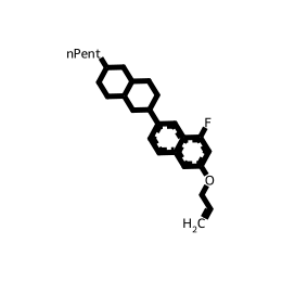 C=CCOc1cc(F)c2cc(C3CCC4CC(CCCCC)CCC4C3)ccc2c1